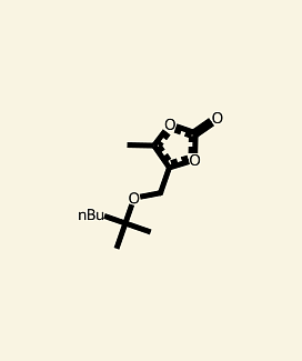 CCCCC(C)(C)OCc1oc(=O)oc1C